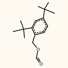 CC(C)(C)c1ccc(COC=O)c(C(C)(C)C)c1